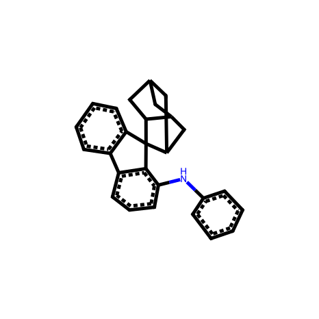 c1ccc(Nc2cccc3c2C2(c4ccccc4-3)C3CC4CC(C3)C2C4)cc1